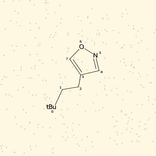 CC(C)(C)CCc1cnoc1